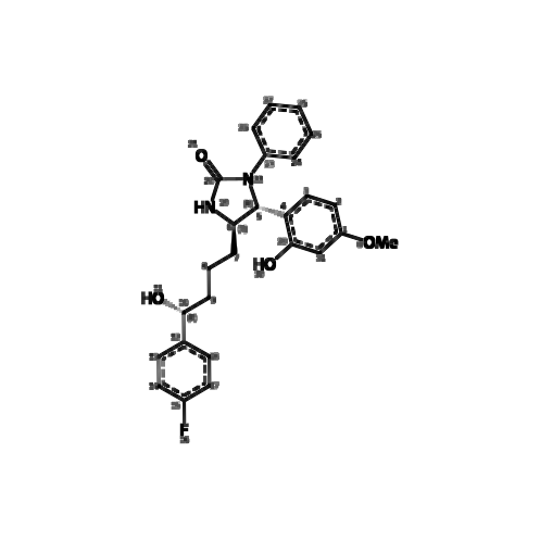 COc1ccc([C@@H]2[C@@H](CCC[C@@H](O)c3ccc(F)cc3)NC(=O)N2c2ccccc2)c(O)c1